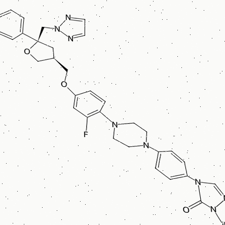 CCC(C)n1ncn(-c2ccc(N3CCN(c4ccc(OC[C@H]5CO[C@](Cn6nccn6)(c6ccccc6)C5)cc4F)CC3)cc2)c1=O